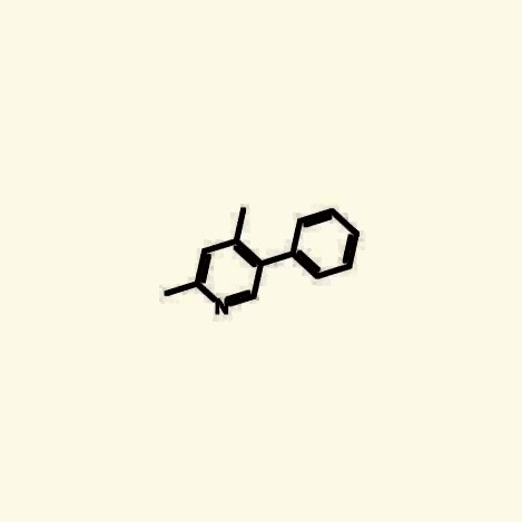 Cc1cc(C)c(-c2ccccc2)cn1